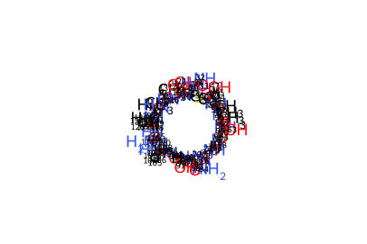 CCCC[C@H]1C(=O)N(C)[C@@H](CCCC)C(=O)N[C@@H](CCC(=O)O)C(=O)N[C@H](C(=O)NCC(N)=O)CSCC(=O)N[C@@H]([C@@H](C)c2ccc(O)cc2)C(=O)N(C)[C@@H](C)C(=O)N[C@@H](CC(=O)O)C(=O)N2CCC[C@H]2C(=O)N[C@@H](CN)C(=O)N[C@@H](CCC(N)=O)C(=O)N2C[C@H](O)C[C@H]2C(=O)N[C@@H](Cc2c[nH]c3ccccc23)C(=O)N[C@@H](CCN)C(=O)N[C@@H](Cc2c[nH]c3ccccc23)C(=O)N1C